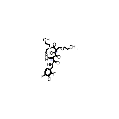 CCCOC/C1=C(/O)C(=O)/C(C(=O)NCc2ccc(F)c(Cl)c2F)=C\NCCN(CCO)C1=O